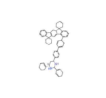 C1=CC(C2NC(c3ccc(C4=CCC(c5cccc6c5C5=CC7=C(CC5C65CCCCC5)c5ccccc5C75CCCCC5)C=C4)cc3)C[C@@H](C3=CCCCC3)N2)=CCC1